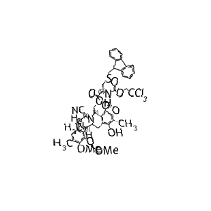 COCOc1c(OC)c(C)cc2c1[C@@H]1C3Cc4c(O)c(C)c5c(c4[C@H](COC(=O)[C@@H](CSCC4c6ccccc6-c6ccccc64)NC(=O)OCC(Cl)(Cl)Cl)N3[C@@H](C#N)[C@@H](C2)N1C)OCO5